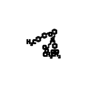 CCOC(=O)CCCCN(CCc1ccccc1OCc1ccc(-c2ccc(C)cc2)cc1)Cc1ccc(C(=O)OC)cc1